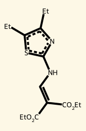 CCOC(=O)C(=CNc1nc(CC)c(CC)s1)C(=O)OCC